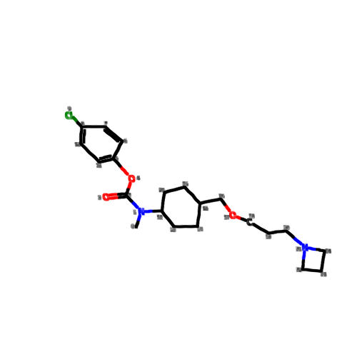 CN(C(=O)Oc1ccc(Cl)cc1)C1CCC(COCCCN2CCC2)CC1